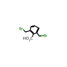 O=C(O)c1c(CBr)cccc1CBr